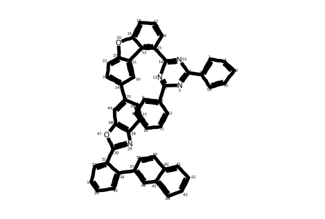 c1ccc(-c2nc(-c3ccccc3)nc(-c3cccc4oc5ccc(-c6ccc7nc(-c8ccccc8-c8ccc9ccccc9c8)oc7c6)cc5c34)n2)cc1